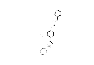 CC(C)(C)NSc1cc(NC(=O)NCc2ccccc2)ccc1-c1cnc(C2CCCCC2)s1